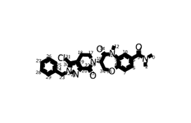 CN(C)C(=O)c1ccc2c(c1)N(C)C(=O)[C@@H](N1CCc3c(nn(Cc4ccccc4)c3Cl)C1=O)CO2